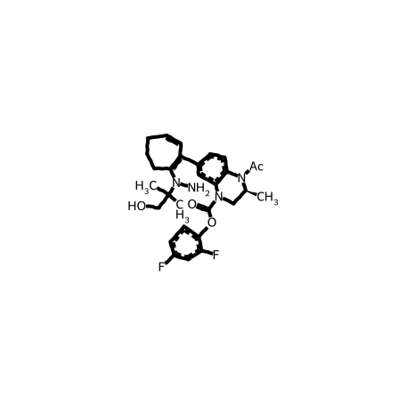 CC(=O)N1c2ccc(C3=C(N(N)C(C)(C)CO)CCCC=C3)cc2N(C(=O)Oc2ccc(F)cc2F)C[C@@H]1C